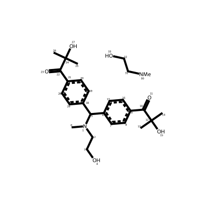 CN(CCO)C(c1ccc(C(=O)C(C)(C)O)cc1)c1ccc(C(=O)C(C)(C)O)cc1.CNCCO